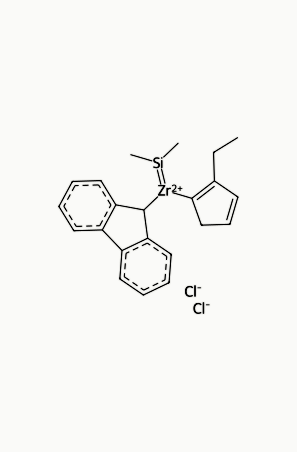 CCC1=[C]([Zr+2]([CH]2c3ccccc3-c3ccccc32)=[Si](C)C)CC=C1.[Cl-].[Cl-]